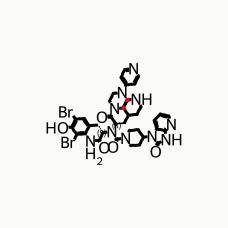 NC(=O)[C@H](Cc1cc(Br)c(O)c(Br)c1)N(C(=O)N1CCC(n2c(=O)[nH]c3ncccc32)CC1)[C@H](CC1CCNCC1)C(=O)N1CCN(c2ccncc2)CC1